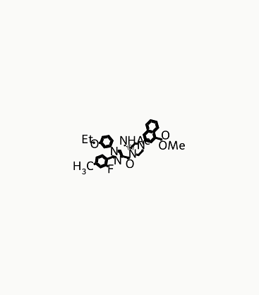 CCOc1cccc(-n2cc(C(=O)N3CCN(c4cc(C(=O)OC)c5ccccc5c4)C[C@H]3CNC(C)=O)nc2-c2ccc(C)cc2F)c1